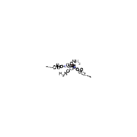 C=CCCCC1CCC(C(=O)Oc2ccc(/C=C/C(=O)CC(Cc3ccc(N)cc3)(Cc3ccc(N)cc3)C(O)(O)C(=O)/C=C/c3ccc(OC(=O)C4CCC(CCCC=C)CC4)cc3)cc2)CC1